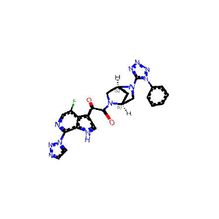 O=C(C(=O)N1C[C@@H]2C[C@H]1CN2c1nnnn1-c1ccccc1)c1c[nH]c2c(-n3ccnn3)ncc(F)c12